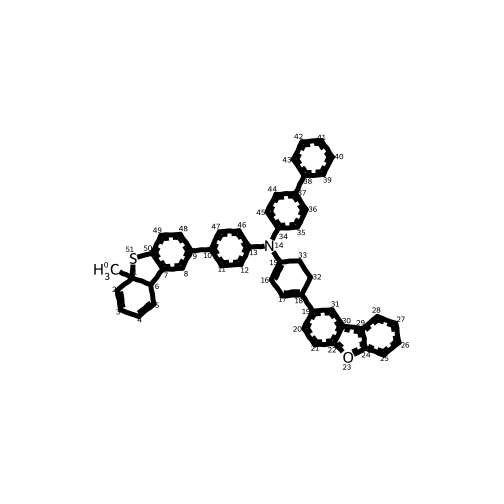 CC12C=CC=CC1c1cc(-c3ccc(N(C4=CC=C(c5ccc6oc7ccccc7c6c5)CC4)c4ccc(-c5ccccc5)cc4)cc3)ccc1S2